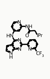 CC(C)CC(=O)Nc1cc(Nc2nc(-c3cccc(C(F)(F)F)n3)nc3[nH]ccc23)ccn1